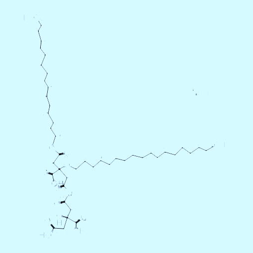 CCCCCCCCCCCCCCCCCCOC(CC(=O)OCCCCCCCCCCCCCCCC)(CC(=O)OC(=O)CC(O)(CC(=O)O)C(=O)O)C(=O)O.[NaH]